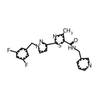 Cc1nc(-c2ccn(Cc3cc(F)cc(F)c3)n2)sc1C(=O)NCc1cccnc1